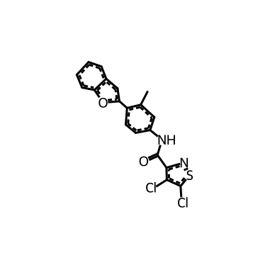 Cc1cc(NC(=O)c2nsc(Cl)c2Cl)ccc1-c1cc2ccccc2o1